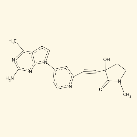 Cc1nc(N)nc2c1ccn2-c1ccnc(C#CC2(O)CCN(C)C2=O)c1